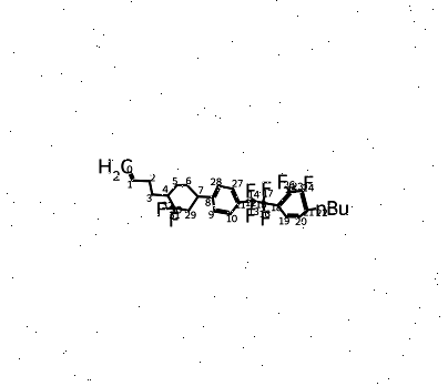 C=CCCC1CCC(c2ccc(C(F)(F)C(F)(F)c3ccc(CCCC)c(F)c3F)cc2)CC1(F)F